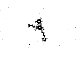 O=C(NOCC1CC1)c1cc2c(ncn2CCCCn2ccnc2)c(F)c1Nc1ccc(Br)cc1Cl